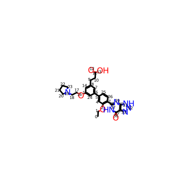 CCOc1cc(-c2cc(CCC(=O)O)cc(OCCN3CCCC3)c2)ccc1-c1nc2[nH]nnc2c(=O)[nH]1